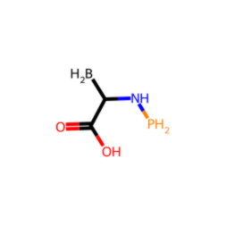 BC(NP)C(=O)O